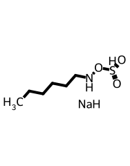 CCCCCCNO[SH](=O)=O.[NaH]